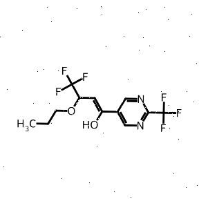 CCCOC(/C=C(\O)c1cnc(C(F)(F)F)nc1)C(F)(F)F